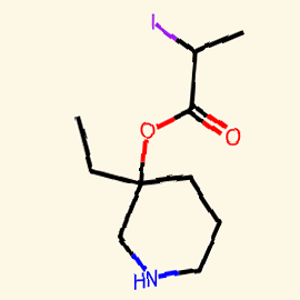 CCC1(OC(=O)C(C)I)CCCNC1